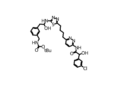 CC(C)(C)OC(=O)NCc1cccc(CC(O)Nc2nnc(CCCCc3ccc(NC(=O)C(O)c4cccc(Cl)c4)nn3)s2)c1